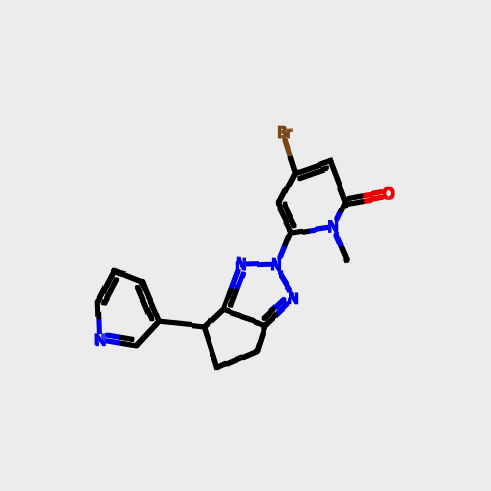 Cn1c(-n2nc3c(n2)C(c2cccnc2)CC3)cc(Br)cc1=O